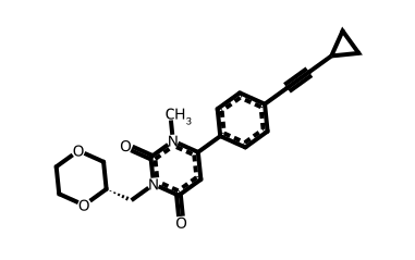 Cn1c(-c2ccc(C#CC3CC3)cc2)cc(=O)n(C[C@H]2COCCO2)c1=O